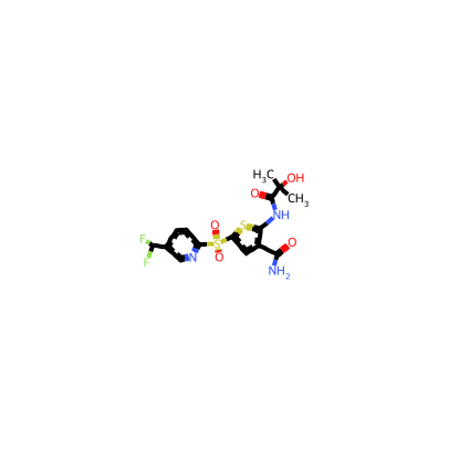 CC(C)(O)C(=O)Nc1sc(S(=O)(=O)c2ccc(C(F)F)cn2)cc1C(N)=O